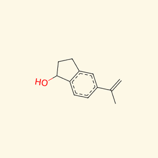 C=C(C)c1ccc2c(c1)CCC2O